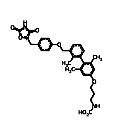 Cc1cc(OCCCNC(=O)O)cc(C)c1-c1cccc(COc2ccc(Cn3oc(=O)[nH]c3=O)cc2)c1C